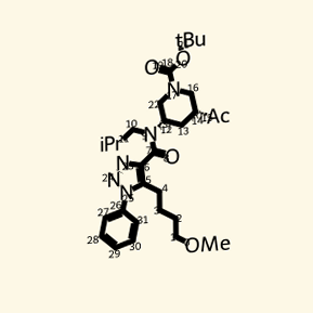 COCCCCc1c(C(=O)N(CC(C)C)[C@H]2C[C@@H](C(C)=O)CN(C(=O)OC(C)(C)C)C2)nnn1-c1ccccc1